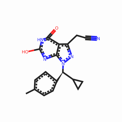 Cc1ccc([C@H](C2CC2)n2nc(CC#N)c3c(=O)[nH]c(O)nc32)cc1